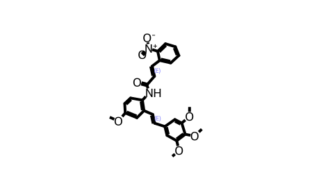 COc1ccc(NC(=O)/C=C/c2ccccc2[N+](=O)[O-])c(/C=C/c2cc(OC)c(OC)c(OC)c2)c1